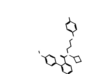 COc1ccc(-c2ccccc2C(=O)N(CCCOc2ccc(F)cc2)C2CCC2)cc1